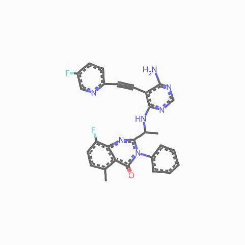 Cc1ccc(F)c2nc(C(C)Nc3ncnc(N)c3C#Cc3ccc(F)cn3)n(-c3ccccc3)c(=O)c12